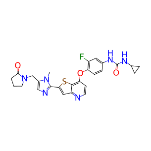 Cn1c(CN2CCCC2=O)cnc1-c1cc2nccc(Oc3ccc(NC(=O)NC4CC4)cc3F)c2s1